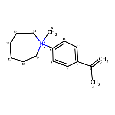 C=C(C)c1ccc([N+]2(C)CCCCCC2)cc1